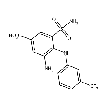 Nc1cc(C(=O)O)cc(S(N)(=O)=O)c1Nc1cccc(C(F)(F)F)c1